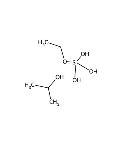 CC(C)O.CCO[Si](O)(O)O